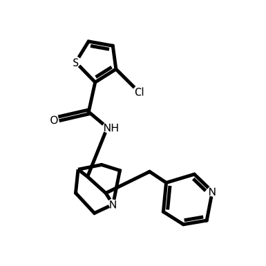 O=C(NC1C2CCN(CC2)C1Cc1cccnc1)c1sccc1Cl